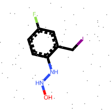 ONNc1ccc(F)cc1CI